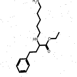 CCOC(=O)C(CCc1ccccc1)NCCCCCN